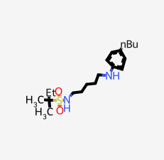 CCCCc1ccc(NCCCCCNS(=O)(=O)C(C)(C)CC)cc1